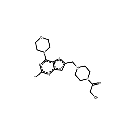 O=C(CO)N1CCN(Cc2cc3nc(Cl)nc(N4CCOCC4)c3s2)CC1